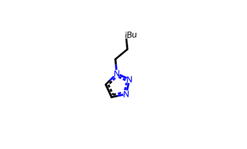 CCC(C)CCn1ccnn1